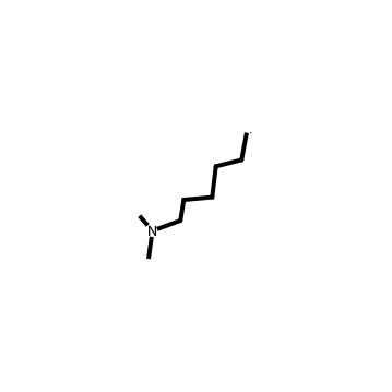 [CH2]CCCCCN(C)C